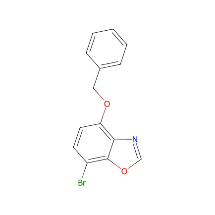 Brc1ccc(OCc2ccccc2)c2ncoc12